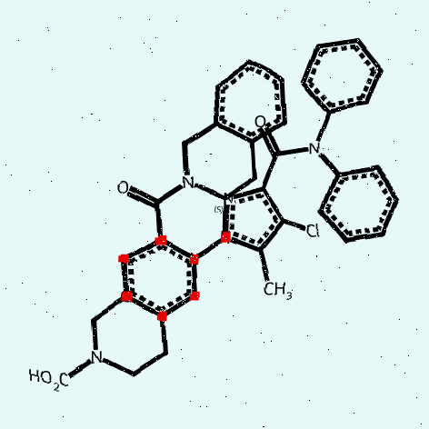 Cc1c(Cl)c(C(=O)N(c2ccccc2)c2ccccc2)nn1-c1cc2c(cc1C(=O)N1Cc3ccccc3C[C@H]1CN1CCOCC1)CN(C(=O)O)CC2